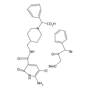 COCC(=O)C(Br)c1ccccc1.Nc1[nH]c(=O)c(C(=O)NCC2CCN(C(C(=O)O)c3ccccc3)CC2)cc1Cl